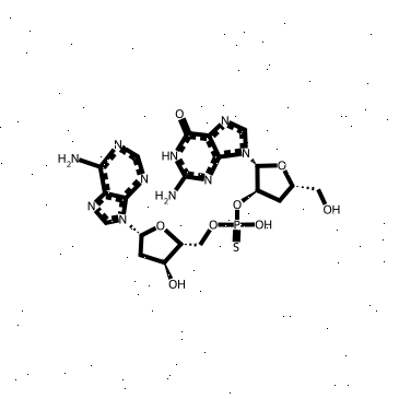 Nc1nc2c(ncn2[C@@H]2O[C@H](CO)C[C@H]2OP(O)(=S)OC[C@H]2O[C@@H](n3cnc4c(N)ncnc43)C[C@@H]2O)c(=O)[nH]1